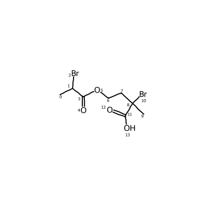 CC(Br)C(=O)OCCC(C)(Br)C(=O)O